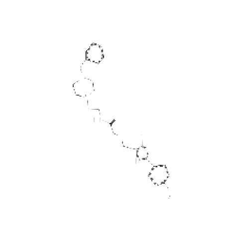 CCOc1ccc(-c2nc(CSCC(=O)NCCN3CCN(Cc4ccccc4)CC3)c(C)o2)cc1